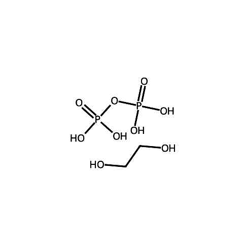 O=P(O)(O)OP(=O)(O)O.OCCO